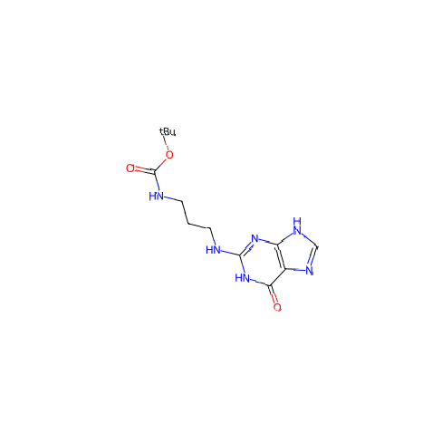 CC(C)(C)OC(=O)NCCCNc1nc2[nH]cnc2c(=O)[nH]1